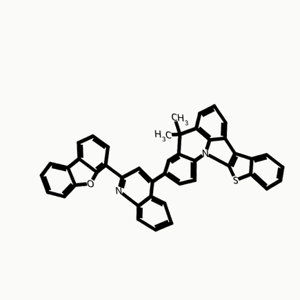 CC1(C)c2cc(-c3cc(-c4cccc5c4oc4ccccc45)nc4ccccc34)ccc2-n2c3sc4ccccc4c3c3cccc1c32